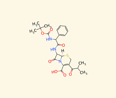 CC(C)C(=O)C1=C(C(=O)O)N2C(=O)C(NC(=O)C(NC(=O)OC(C)(C)C)c3ccccc3)[C@H]2SC1